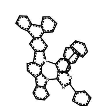 c1ccc(-c2cccc(-n3c4cc5c6ccccc6c6ccccc6c5cc4c4ccc5c6ccccc6n(-c6nc(-c7ccccc7)nc(-c7ccccc7)n6)c5c43)c2)cc1